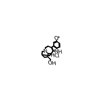 COc1ccc2[nH]c3c(c2c1)CCN1CC2CC(CO)C1C3C2.Cl